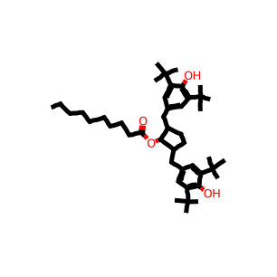 CCCCCCCCCC(=O)OC1C(Cc2cc(C(C)(C)C)c(O)c(C(C)(C)C)c2)CCC1Cc1cc(C(C)(C)C)c(O)c(C(C)(C)C)c1